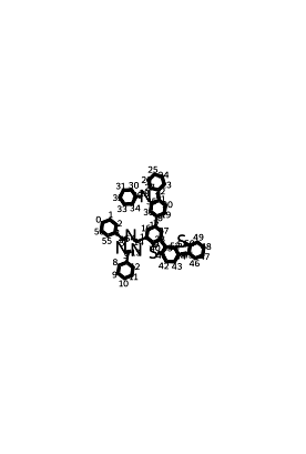 c1ccc(-c2nc(-c3ccccc3)nc(-c3cc(-c4ccc5c6ccccc6n(-c6ccccc6)c5c4)cc4c3sc3ccc5c6ccccc6sc5c34)n2)cc1